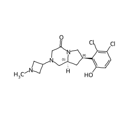 CN1CC(N2CC(=O)N3C[C@@H](c4c(O)ccc(Cl)c4Cl)C[C@H]3C2)C1